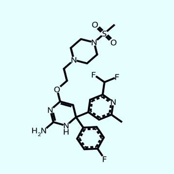 Cc1cc(C2(c3ccc(F)cc3)C=C(OCCN3CCN(S(C)(=O)=O)CC3)N=C(N)N2)cc(C(F)F)n1